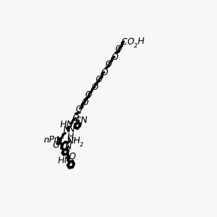 CCCN(CCC/N=C(/NCCOCCOCCOCCOCCOCCOCCOCCOCCOCCOCCC(=O)O)Nc1cccc(C#N)c1)C(=O)C1=Cc2ccc(C(=O)Nc3ccccc3)cc2N=C(N)C1